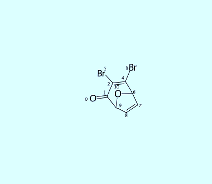 O=C1C(Br)=C(Br)C2C=CC1O2